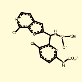 CC(C)(C)[S+]([O-])NC(c1cc2ccnc(Cl)c2s1)c1nc(NC(=O)O)ccc1Cl